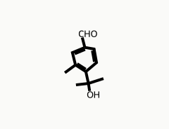 Cc1cc(C=O)ccc1C(C)(C)O